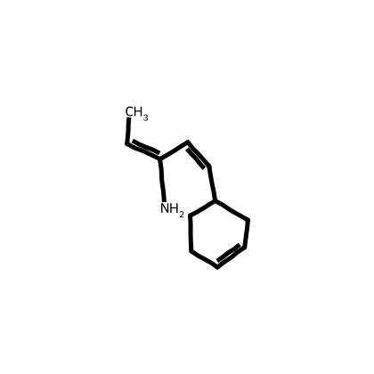 C/C=C(N)\C=C/C1CC=CCC1